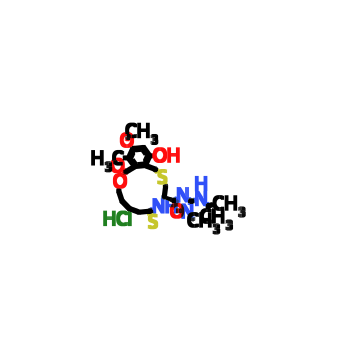 COc1cc(O)c2c(c1C)C(=O)OCCCCC(=S)N[C@H](C1=NC(NC(C)C)N(C)O1)CSC2.Cl